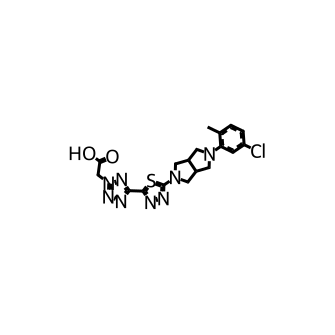 Cc1ccc(Cl)cc1N1CC2CN(c3nnc(-c4nnn(CC(=O)O)n4)s3)CC2C1